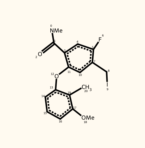 CNC(=O)c1cc(F)c(CI)cc1Oc1cccc(OC)c1C